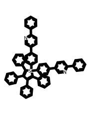 c1ccc(C2=C(c3ccccc3)[Si](c3ccc(-c4ccc(-c5ccccc5)nc4)cc3)(c3ccc(-c4ccc(-c5ccccc5)nc4)cc3)C(c3ccccc3)=C2c2ccccc2)cc1